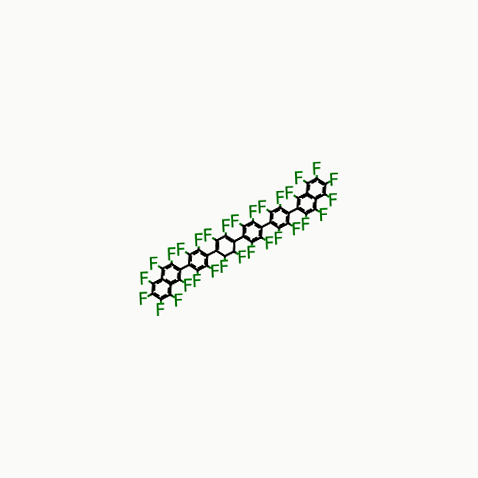 FC1=C(c2c(F)c(F)c(-c3c(F)c(F)c(-c4c(F)c(F)c5c(F)c(F)c(F)c(F)c5c4F)c(F)c3F)c(F)c2F)C(F)C(F)C(c2c(F)c(F)c(-c3c(F)c(F)c4c(F)c(F)c(F)c(F)c4c3F)c(F)c2F)=C1F